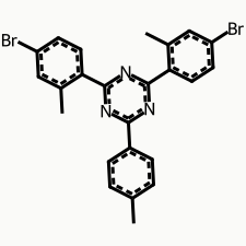 Cc1ccc(-c2nc(-c3ccc(Br)cc3C)nc(-c3ccc(Br)cc3C)n2)cc1